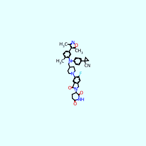 Cc1ccc(-c2c(C)noc2C)cc1N(CC1CCN(c2cc3c(cc2F)CN(C2CCC(=O)NC2=O)C3=O)CC1)c1ccc(C2(C#N)CC2)cc1